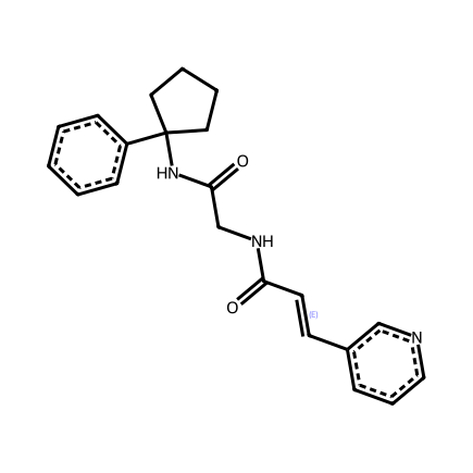 O=C(/C=C/c1cccnc1)NCC(=O)NC1(c2ccccc2)CCCC1